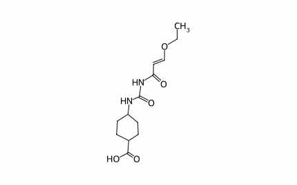 CCOC=CC(=O)NC(=O)NC1CCC(C(=O)O)CC1